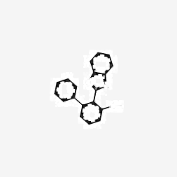 Oc1cccc(-c2ccccc2)c1-c1nc2ccccc2o1